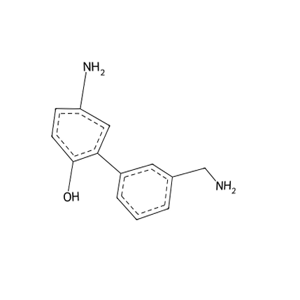 NCc1cccc(-c2cc(N)ccc2O)c1